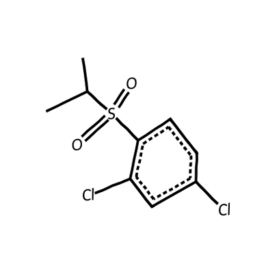 CC(C)S(=O)(=O)c1ccc(Cl)cc1Cl